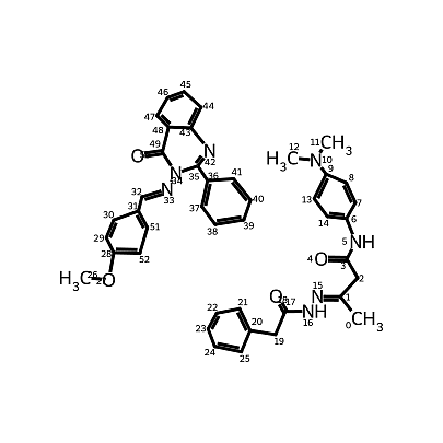 CC(CC(=O)Nc1ccc(N(C)C)cc1)=NNC(=O)Cc1ccccc1.COc1ccc(C=Nn2c(-c3ccccc3)nc3ccccc3c2=O)cc1